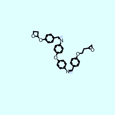 C(=N/c1ccc(Oc2ccc(/N=C\c3ccc(OC4CCO4)cc3)cc2)cc1)/c1ccc(OCCC2CO2)cc1